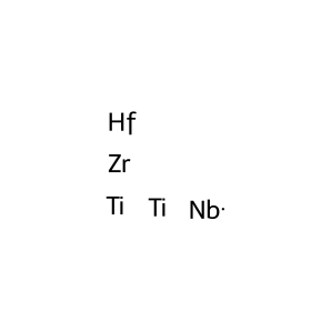 [Hf].[Nb].[Ti].[Ti].[Zr]